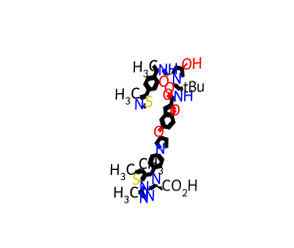 Cc1ncsc1-c1ccc(C(C)NC(=O)[C@@H]2C[C@@H](O)CN2C(=O)C(NC(=O)c2cc3cc(O[C@H]4CCN(c5ccc(C6=N[C@@H](CC(=O)O)c7nnc(C)n7-c7sc(C)c(C)c76)cc5)C4)ccc3o2)C(C)(C)C)cc1